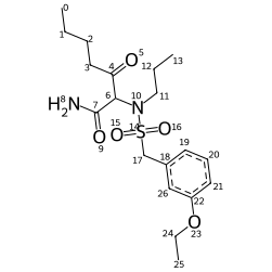 CCCCC(=O)C(C(N)=O)N(CCC)S(=O)(=O)Cc1cccc(OCC)c1